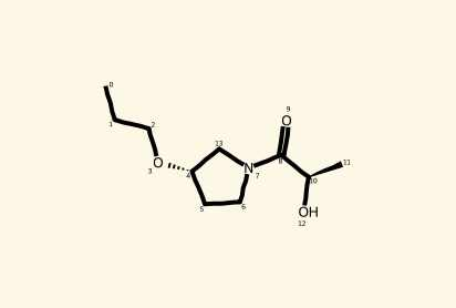 CCCO[C@H]1CCN(C(=O)[C@@H](C)O)C1